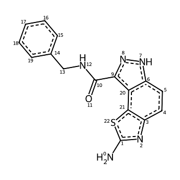 Nc1nc2ccc3[nH]nc(C(=O)NCc4ccccc4)c3c2s1